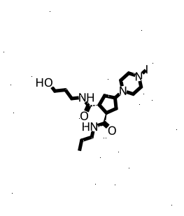 CCCNC(=O)[C@@H]1CC(N2CCN(I)CC2)C[C@H]1C(=O)NCCCO